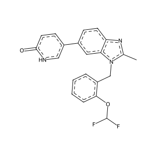 Cc1nc2ccc(-c3ccc(=O)[nH]c3)cc2n1Cc1ccccc1OC(F)F